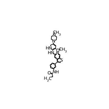 C=CC(=O)Nc1cccc(-c2csc3cnc(NC4=C(OC)C=C(N5CCN(C)CC5)CN4)cc23)c1